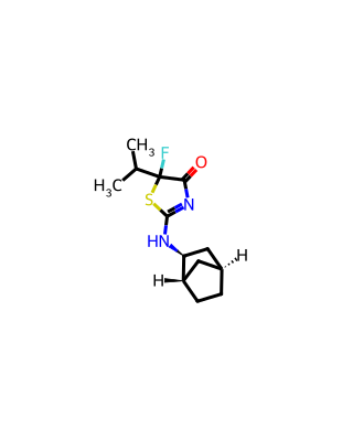 CC(C)C1(F)SC(N[C@H]2C[C@H]3CC[C@H]2C3)=NC1=O